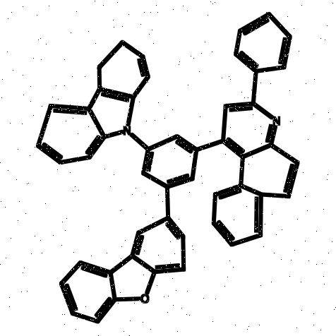 C1=Cc2c(c3ccccc3n2-c2cc(-c3ccc4oc5ccccc5c4c3)cc(-c3cc(-c4ccccc4)nc4ccc5ccccc5c34)c2)CC1